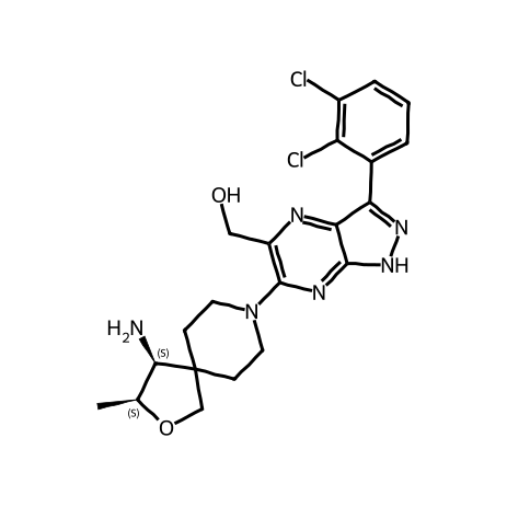 C[C@@H]1OCC2(CCN(c3nc4[nH]nc(-c5cccc(Cl)c5Cl)c4nc3CO)CC2)[C@@H]1N